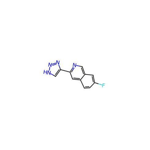 Fc1ccc2cc(-c3c[nH]nn3)ncc2c1